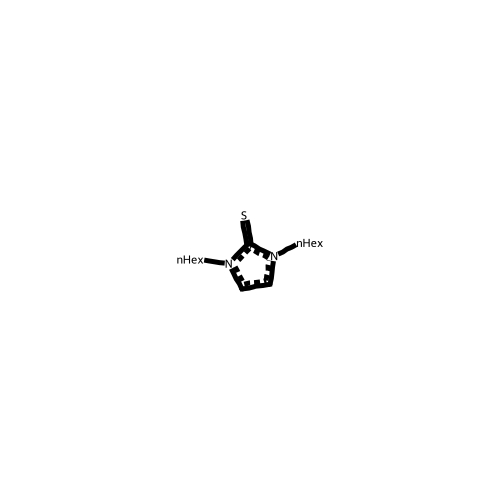 CCCCCCn1ccn(CCCCCC)c1=S